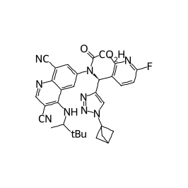 Cc1nc(F)ccc1[C@@H](c1cn(C23CC(C2)C3)nn1)N(C(=O)C(=O)O)c1cc(C#N)c2ncc(C#N)c(NC(C)C(C)(C)C)c2c1